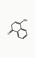 CC(C)(C)C1=CCC(=O)c2ccccc21